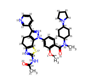 COc1cc(-n2nc(-c3cccnc3)c3c2-c2sc(NC(C)=O)nc2CC3)ccc1C(=O)N(C)C1CCC(N2CCCC2)CC1